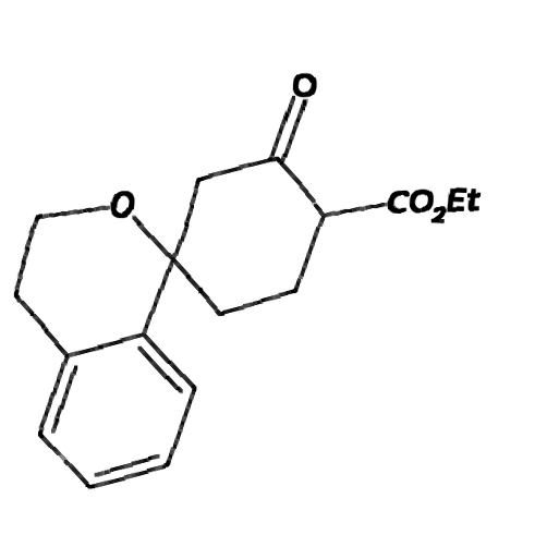 CCOC(=O)C1CCC2(CC1=O)OCCc1ccccc12